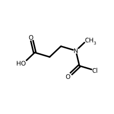 CN(CCC(=O)O)C(=O)Cl